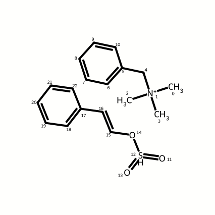 C[N+](C)(C)Cc1ccccc1.O=[SH](=O)OC=Cc1ccccc1